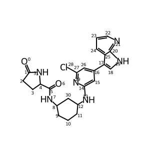 O=C1CCC(C(=O)NC2CCCC(Nc3cc(-c4c[nH]c5ncccc45)cc(Cl)n3)C2)N1